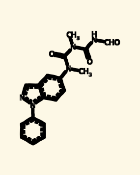 CN(C(=O)NC=O)C(=O)N(C)c1ccc2c(cnn2-c2ccccc2)c1